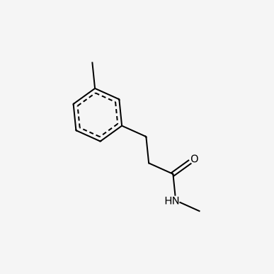 CNC(=O)CCc1cccc(C)c1